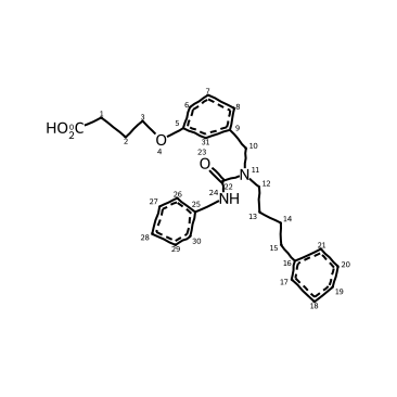 O=C(O)CCCOc1cccc(CN(CCCCc2ccccc2)C(=O)Nc2ccccc2)c1